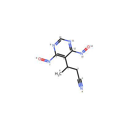 CC(CC#N)c1c(N=O)ncnc1N=O